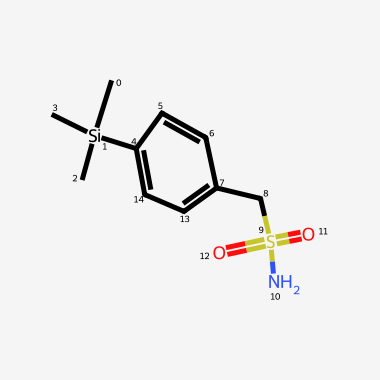 C[Si](C)(C)c1ccc(CS(N)(=O)=O)cc1